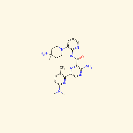 CN(C)c1ccc(C(F)(F)F)c(-c2cnc(N)c(C(=O)Nc3ncccc3N3CCC(C)(N)CC3)n2)n1